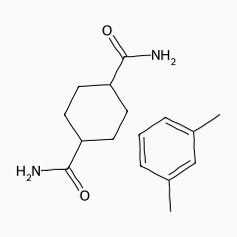 Cc1cccc(C)c1.NC(=O)C1CCC(C(N)=O)CC1